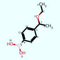 CCOC(C)c1ccc(B(O)O)cc1